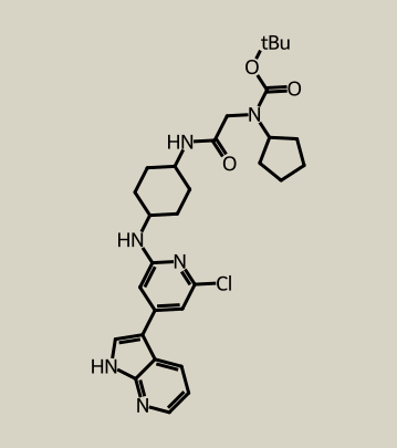 CC(C)(C)OC(=O)N(CC(=O)NC1CCC(Nc2cc(-c3c[nH]c4ncccc34)cc(Cl)n2)CC1)C1CCCC1